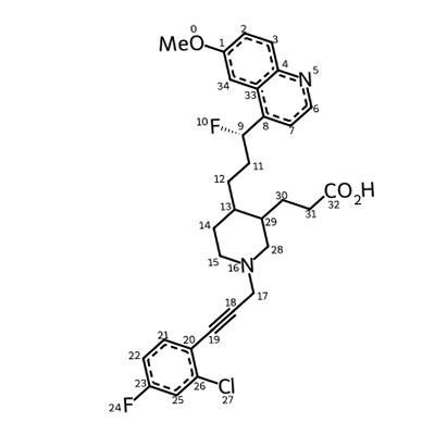 COc1ccc2nccc([C@@H](F)CCC3CCN(CC#Cc4ccc(F)cc4Cl)CC3CCC(=O)O)c2c1